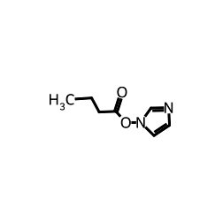 CCCC(=O)On1ccnc1